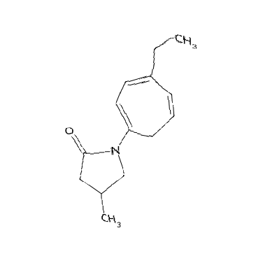 CCC1=CC=C(N2CC(C)CC2=O)CC=C1